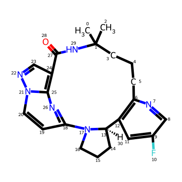 CC1(C)CCCc2ncc(F)cc2[C@H]2CCCN2c2ccn3ncc(c3n2)C(=O)N1